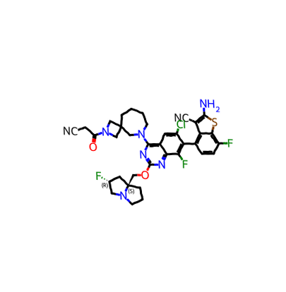 N#CCC(=O)N1CC2(CCCCN(c3nc(OC[C@@]45CCCN4C[C@H](F)C5)nc4c(F)c(-c5ccc(F)c6sc(N)c(C#N)c56)c(Cl)cc34)C2)C1